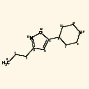 CCCc1cc(C2CC[N]CC2)on1